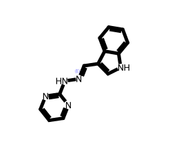 C(=N\Nc1ncccn1)/c1c[nH]c2ccccc12